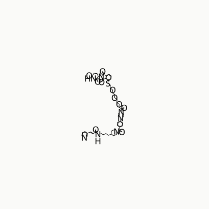 O=C(/C=C/c1cccnc1)NCCCCC1CCN(C(=O)c2ccc(N3CCN(C(=O)COCCOCCOCCSc4cccc5c4C(=O)N(C4CCC(=O)NC4=O)C5=O)CC3)cc2)CC1